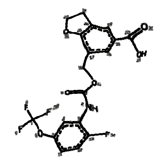 O=C(Nc1cc(OC(F)(F)F)ccc1F)OCc1cc(C(=O)O)cc2c1OCC2